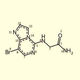 NC(=O)CNc1ncc(Br)c2nccn12